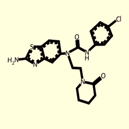 Nc1nc2cc(N(CCN3CCCCC3=O)C(=O)Nc3ccc(Cl)cc3)ccc2s1